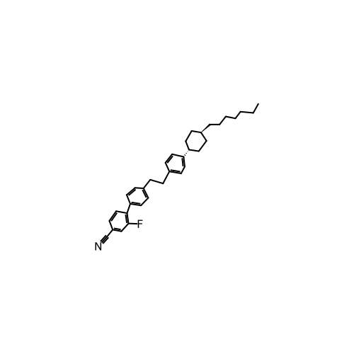 CCCCCCC[C@H]1CC[C@H](c2ccc(CCc3ccc(-c4ccc(C#N)cc4F)cc3)cc2)CC1